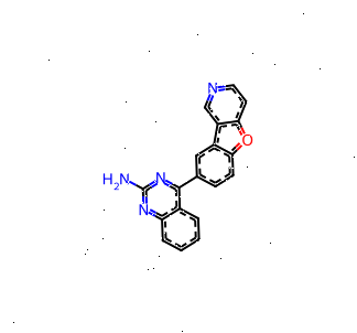 Nc1nc(-c2ccc3oc4ccncc4c3c2)c2ccccc2n1